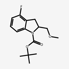 COCC1Cc2c(F)cccc2N1C(=O)OC(C)(C)C